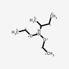 CCO[SiH](OCC)C(C)CC